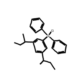 CCC(C)c1cc(C(C)CC)cc([Si](Cl)(c2ccccc2)c2ccccc2)c1